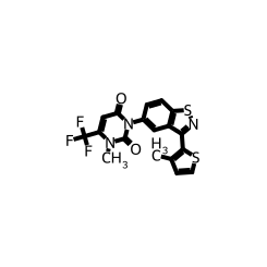 Cc1ccsc1-c1nsc2ccc(-n3c(=O)cc(C(F)(F)F)n(C)c3=O)cc12